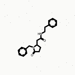 O=C(CC1CCC(=O)N1Cc1ccccc1)NCCc1ccccc1